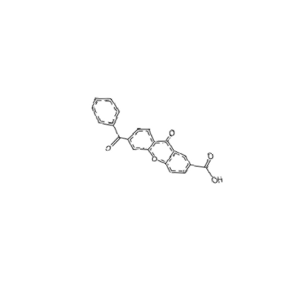 O=C(O)c1ccc2oc3cc(C(=O)c4ccccc4)ccc3c(=O)c2c1